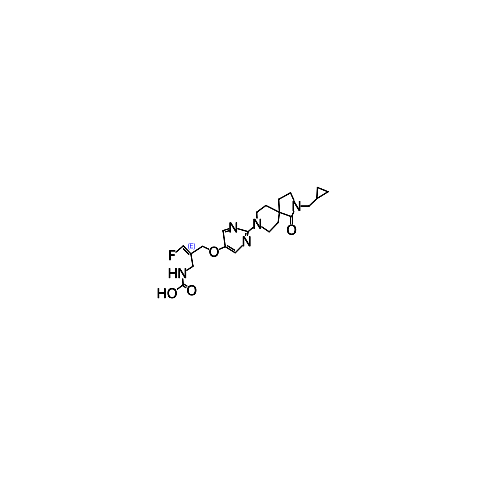 O=C(O)NC/C(=C\F)COc1cnc(N2CCC3(CCN(CC4CC4)C3=O)CC2)nc1